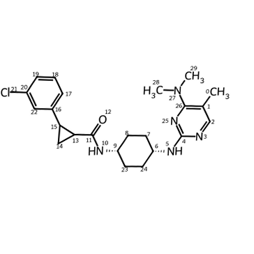 Cc1cnc(N[C@H]2CC[C@@H](NC(=O)C3CC3c3cccc(Cl)c3)CC2)nc1N(C)C